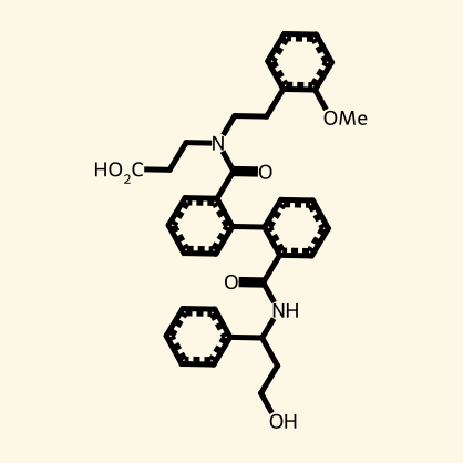 COc1ccccc1CCN(CCC(=O)O)C(=O)c1ccccc1-c1ccccc1C(=O)NC(CCO)c1ccccc1